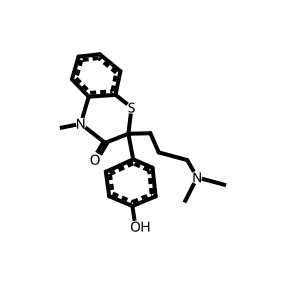 CN(C)CCCC1(c2ccc(O)cc2)Sc2ccccc2N(C)C1=O